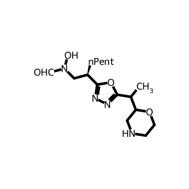 CCCCC[C@H](CN(O)C=O)c1nnc(C(C)C2CNCCO2)o1